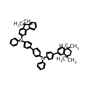 CC1(C)CCC(C)(C)c2cc(-c3ccc(N(c4ccccc4)c4ccc(-c5ccc(N(c6ccccc6)c6ccc7c(c6)-c6ccccc6C7(C)C)cc5)cc4)cc3)ccc21